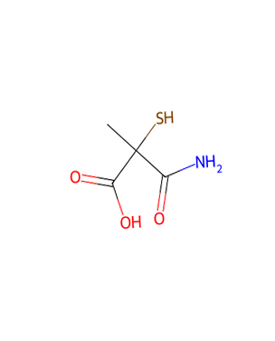 CC(S)(C(N)=O)C(=O)O